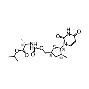 CC(C)OC(=O)[C@H](C)N[PH](=O)OC[C@@H]1C[C@H](C)[C@H](n2ccc(=O)[nH]c2=O)S1